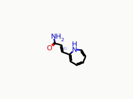 NC(=O)/C=C/C1=CC=CC=CN1